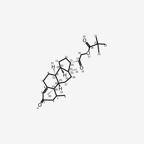 CC1CC(=O)C=C2CC[C@H]3[C@@H]4CC[C@H](C(=O)COC(=O)C(C)(C)C)[C@@]4(C)CC[C@@H]3[C@]21C